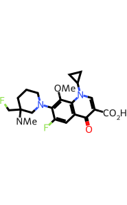 CNC1(CF)CCCN(c2c(F)cc3c(=O)c(C(=O)O)cn(C4CC4)c3c2OC)C1